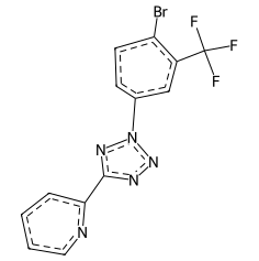 FC(F)(F)c1cc(-n2nnc(-c3ccccn3)n2)ccc1Br